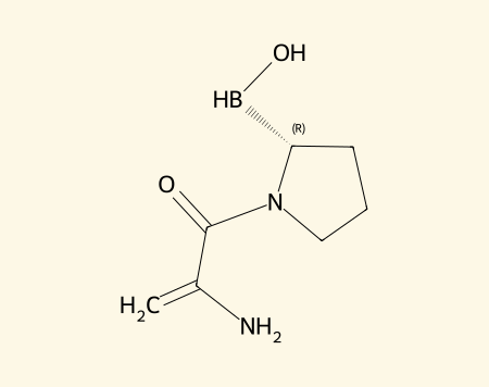 C=C(N)C(=O)N1CCC[C@H]1BO